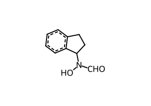 O=CN(O)C1CCc2ccccc21